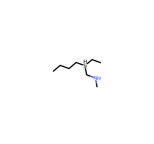 CCCC[SiH](CC)CNC